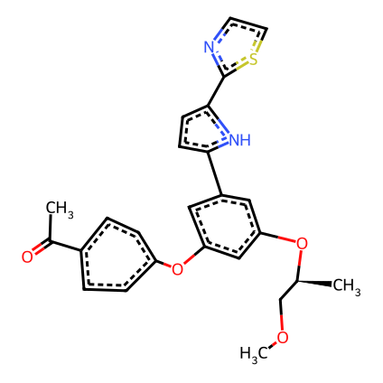 COC[C@H](C)Oc1cc(Oc2ccc(C(C)=O)cc2)cc(-c2ccc(-c3nccs3)[nH]2)c1